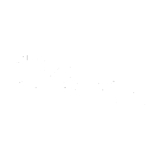 C/C=C/CCC1CCC(c2ccc(-c3ccc(-c4ccc(OCCCCCCC)c(F)c4F)cc3)c(F)c2)OC1